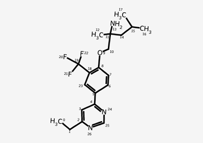 CCc1cc(-c2ccc(OCC(C)(N)CC(C)C)c(C(F)(F)F)c2)ncn1